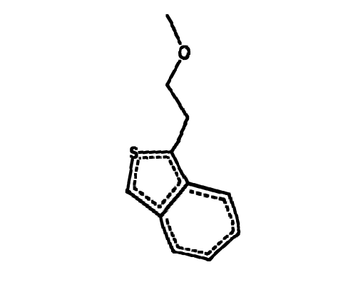 COCCc1scc2ccccc12